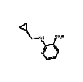 O=C(O)c1cccnc1NCC1CC1